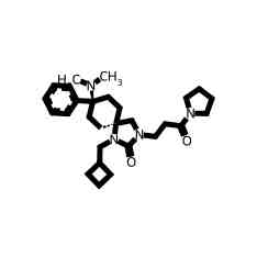 CN(C)[C@]1(c2ccccc2)CC[C@]2(CC1)CN(CCC(=O)N1CCCC1)C(=O)N2CC1CCC1